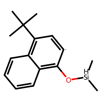 C[SiH](C)Oc1[c]cc(C(C)(C)C)c2ccccc12